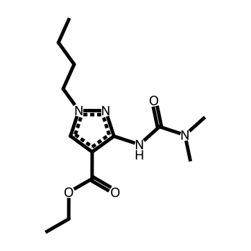 CCCCn1cc(C(=O)OCC)c(NC(=O)N(C)C)n1